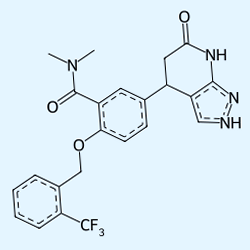 CN(C)C(=O)c1cc(C2CC(=O)Nc3n[nH]cc32)ccc1OCc1ccccc1C(F)(F)F